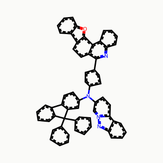 c1ccc(C2(c3ccccc3)c3ccccc3-c3ccc(N(c4ccc(-c5nc6ccccc6c6c5ccc5c7ccccc7oc56)cc4)c4ccc5c6ccccc6nn5c4)cc32)cc1